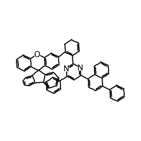 C1=CC(c2nc(-c3ccccc3)cc(-c3ccc(-c4ccccc4)c4ccccc34)n2)=C(c2ccc3c(c2)Oc2ccccc2C32c3ccccc3-c3ccccc32)CC1